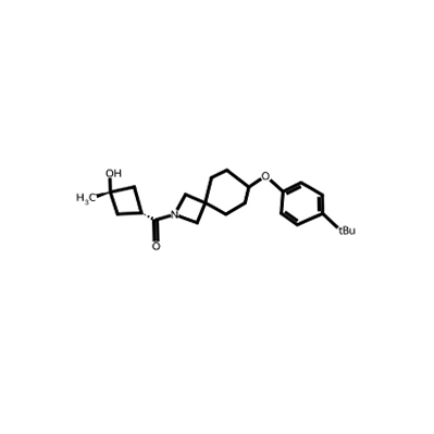 CC(C)(C)c1ccc(OC2CCC3(CC2)CN(C(=O)[C@H]2C[C@@](C)(O)C2)C3)cc1